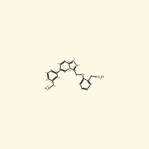 CCOC(=O)Cc1ccccc1OCc1nnc2ccc(-c3cccc(CN)c3)cn12